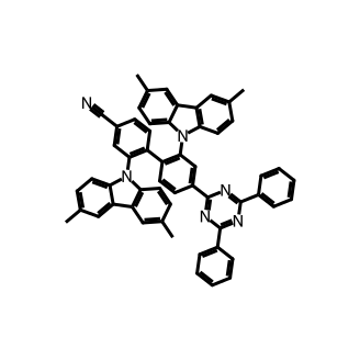 Cc1ccc2c(c1)c1cc(C)ccc1n2-c1cc(C#N)ccc1-c1ccc(-c2nc(-c3ccccc3)nc(-c3ccccc3)n2)cc1-n1c2ccc(C)cc2c2cc(C)ccc21